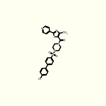 Cc1nc(-c2ccncc2)sc1C(=O)N1CCN(S(=O)(=O)c2ccc(-c3ccc(Cl)cc3)cc2)CC1